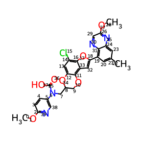 COc1ccc(N(CC2COc3c(cc(Cl)c4oc(-c5cc(C)cc6nc(OC)cnc56)cc34)O2)C(=O)O)cn1